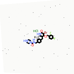 Cc1[nH]c(=O)c(Br)c(OCc2ccc(F)cc2F)c1Cc1ccc(CNC(=O)N2CCNCC2)cc1.Cl